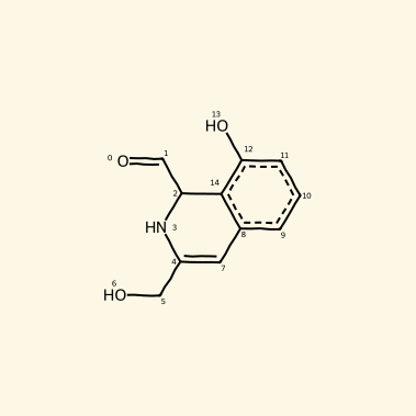 O=CC1NC(CO)=Cc2cccc(O)c21